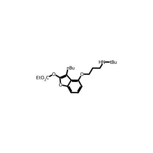 CCCCc1c(OC(=O)OCC)oc2cccc(OCCCNC(C)(C)C)c12